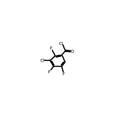 O=C(Cl)c1cc(F)c(F)c(Cl)c1F